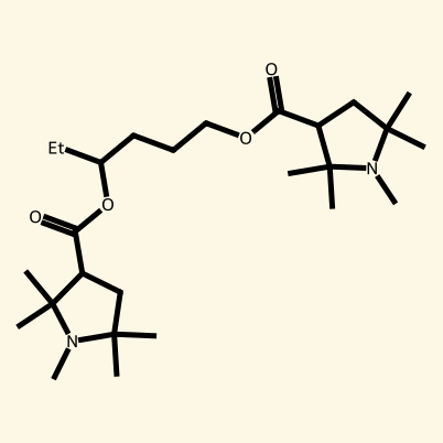 CCC(CCCOC(=O)C1CC(C)(C)N(C)C1(C)C)OC(=O)C1CC(C)(C)N(C)C1(C)C